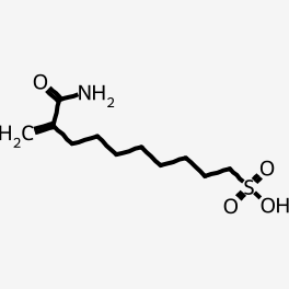 C=C(CCCCCCCCS(=O)(=O)O)C(N)=O